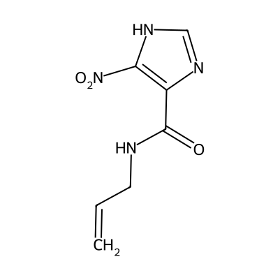 C=CCNC(=O)c1nc[nH]c1[N+](=O)[O-]